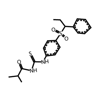 CCC(c1ccccc1)S(=O)(=O)c1ccc(NC(=S)NC(=O)C(C)C)cc1